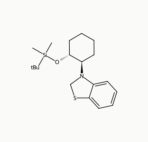 CC(C)(C)[Si](C)(C)O[C@@H]1CCCC[C@H]1N1CSc2ccccc21